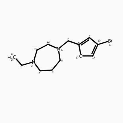 CCN1CCCN(Cc2cc(Br)co2)CC1